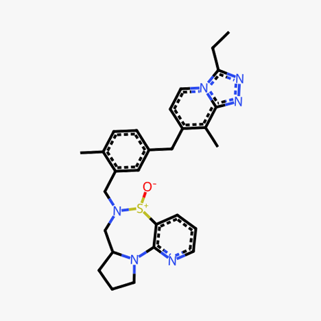 CCc1nnc2c(C)c(Cc3ccc(C)c(CN4CC5CCCN5c5ncccc5[S+]4[O-])c3)ccn12